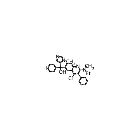 CCN(C)c1nc2ccc(C(O)(c3ccncc3)c3cncn3C)cc2c(Cl)c1-c1ccccc1